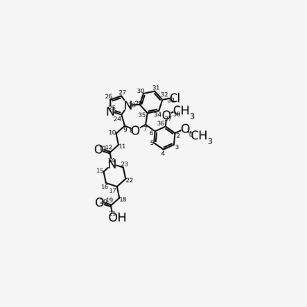 COc1cccc(C2OC(CCC(=O)N3CCC(CC(=O)O)CC3)c3nccn3-c3ccc(Cl)cc32)c1OC